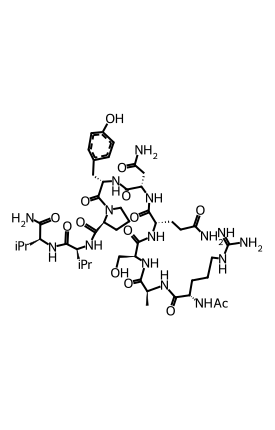 CC(=O)N[C@@H](CCCNC(=N)N)C(=O)N[C@@H](C)C(=O)N[C@@H](CO)C(=O)N[C@@H](CCC(N)=O)C(=O)N[C@@H](CC(N)=O)C(=O)N[C@@H](Cc1ccc(O)cc1)C(=O)N1CCC[C@H]1C(=O)N[C@H](C(=O)N[C@H](C(N)=O)C(C)C)C(C)C